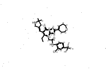 CCc1c(C=C2CNC(C)(C)C2)c(=O)n2nc(C3=CCCOCC3)nc2n1CC(=O)Nc1ccc(C(F)(F)F)cc1Cl